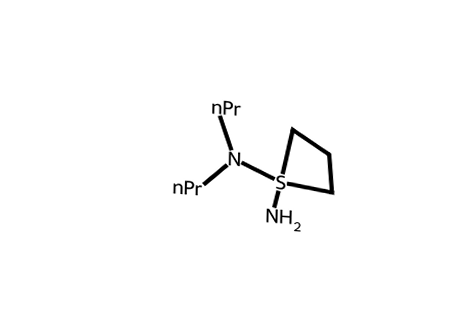 CCCN(CCC)S1(N)CCC1